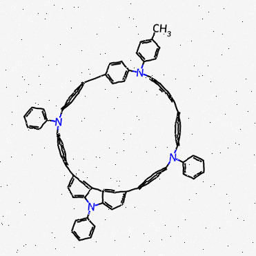 Cc1ccc(N2c3ccc(cc3)-c3ccc(cc3)N(c3ccccc3)c3ccc(cc3)-c3ccc4c(c3)c3cc(ccc3n4-c3ccccc3)-c3ccc(cc3)N(c3ccccc3)c3ccc(cc3)-c3ccc2cc3)cc1